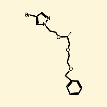 C[C@H](COCCOCc1ccccc1)OCCn1cc(Br)cn1